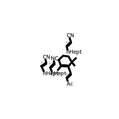 CC(=O)/C=C/C1=C(C)CCCC1(C)C.CCCCCCC/C=C/C#N.CCCCCCC/C=C/C#N.CCCCCCC/C=C/C#N